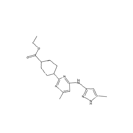 CCOC(=O)C1CCC(c2nc(C)cc(Nc3cc(C)[nH]n3)n2)CC1